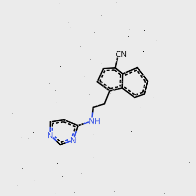 N#Cc1ccc(CCNc2ccncn2)c2ccccc12